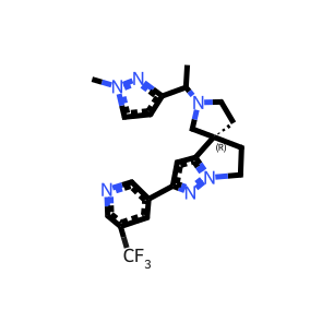 CC(c1ccn(C)n1)N1CC[C@@]2(CCn3nc(-c4cncc(C(F)(F)F)c4)cc32)C1